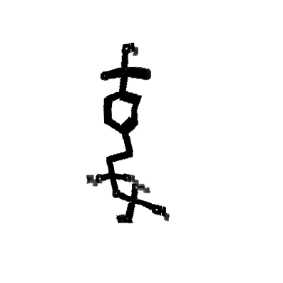 CC(C)(CCc1ccc(S(C)(=O)=O)cc1)O[Si](C)(C)C(C)(C)C